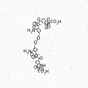 Cc1c(-c2ccc(CCOCCOCCc3ccc(-c4c(C)c(C(=O)c5ccc6c(=O)n(CC(=O)O)c(=O)[nH]c6c5)n5ccccc45)c(C(N)=O)c3)cc2C(N)=O)c2ccccn2c1C(=O)c1ccc2c(=O)n(CC(=O)O)c(=O)[nH]c2c1